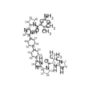 CC(C)[C@H](NC1=NCCN1)C(=O)N1CCCC1c1ncc(-c2ccc(-c3ccc(-c4cnc([C@@H]5CCCN5C(=O)[C@@H](OC(N)=O)C(C)C)[nH]4)cc3)cc2)[nH]1